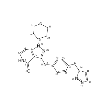 O=c1[nH]ccc2c1c(Nc1ccc(Cn3ccnn3)cc1)nn2C1CCCCC1